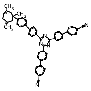 C[C@@H]1CC[C@H](C)CC(C)(c2ccc(-c3ccc(-c4nc(-c5ccc(-c6ccc(C#N)cc6)cc5)nc(-c5ccc(-c6ccc(C#N)cc6)cc5)n4)cc3)cc2)C1